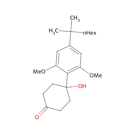 CCCCCCC(C)(C)c1cc(OC)c(C2(O)CCC(=O)CC2)c(OC)c1